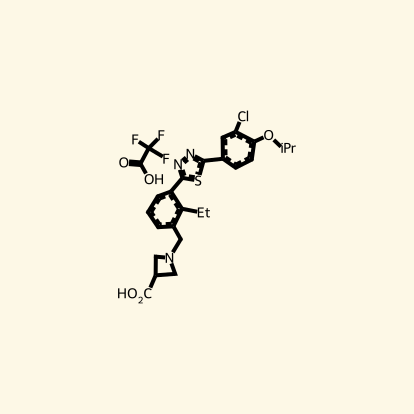 CCc1c(CN2CC(C(=O)O)C2)cccc1-c1nnc(-c2ccc(OC(C)C)c(Cl)c2)s1.O=C(O)C(F)(F)F